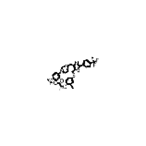 COc1ccc(N2CCN(Cc3nc(-c4ccc(C(F)(F)F)cc4)sc3CSc3ccc(O[C@H](C)C(=O)O)c(C)c3)CC2)cc1